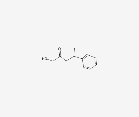 CC(CC(=O)CO)c1ccccc1